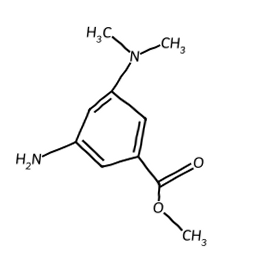 COC(=O)c1cc(N)cc(N(C)C)c1